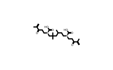 C=C(C)C(=O)CCN(CCC(C)CC(C)(C)CN(CCC(=O)C(=C)C)C(=O)O)C(=O)O